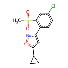 CS(=O)(=O)c1cc(Cl)ccc1-c1cc(C2CC2)on1